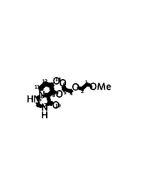 COCCOCC(=O)Oc1c2n(ccc1=O)NCNC2=O